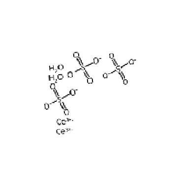 O.O.O=S(=O)([O-])[O-].O=S(=O)([O-])[O-].O=S(=O)([O-])[O-].[Ce+3].[Ce+3]